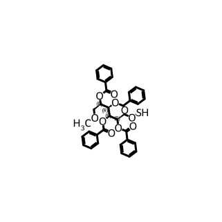 COC[C@@H](OC(=O)c1ccccc1)[C@@H](OC(=O)c1ccccc1)[C@H](OC(=O)c1ccccc1)[C@@H](COS)OC(=O)c1ccccc1